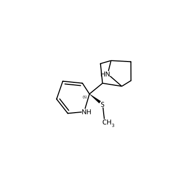 CS[C@]1(C2CC3CCC2N3)C=CC=CN1